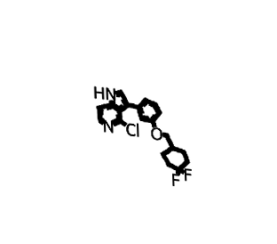 FC1(F)CCC(COc2cccc(-c3c[nH]c4ccnc(Cl)c34)c2)CC1